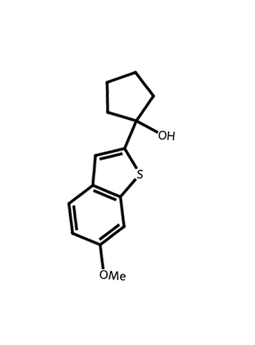 COc1ccc2cc(C3(O)CCCC3)sc2c1